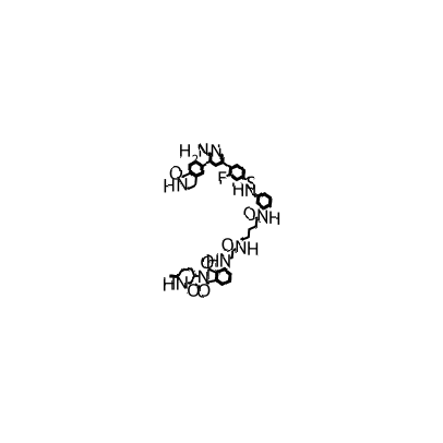 C=C1CCC(N2C(=O)c3cccc(NCC(=O)NCCCCC(=O)Nc4cccc(NSc5ccc(-c6cnc(N)c(-c7ccc8c(c7)CCNC8=O)c6)c(F)c5)c4)c3C2=O)C(=O)N1